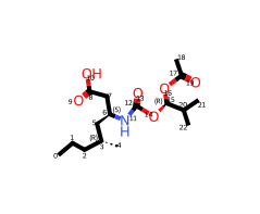 CCC[C@@H](C)C[C@@H](CC(=O)O)NC(=O)O[C@@H](OC(C)=O)C(C)C